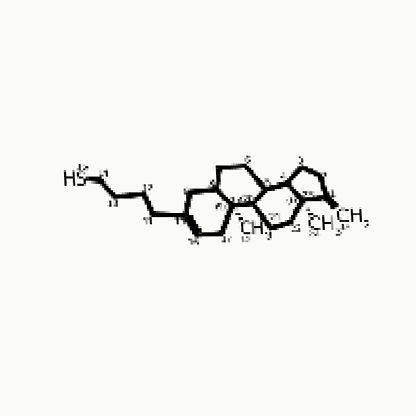 C=C1CCC2C3CCC4CC(CCCCS)=CC[C@]4(C)C3CC[C@]12C